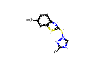 CCCc1ncn(Sc2nc3ccc(C(=O)O)cc3s2)n1